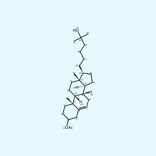 CC(=O)OC1CC[C@@]2(C)C(=CC[C@@H]3[C@H]2CC[C@]2(C)[C@@H](CCCCC(C)(C)O)CC[C@@H]32)C1